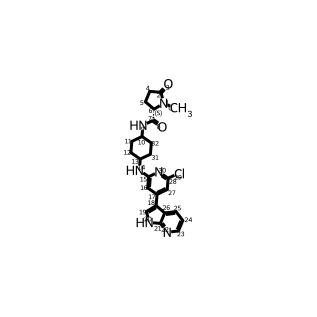 CN1C(=O)CC[C@H]1C(=O)NC1CCC(Nc2cc(-c3c[nH]c4ncccc34)cc(Cl)n2)CC1